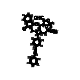 CC1(C)O[C@@H](CN2[C@H](CN3C(=O)c4ccccc4C3=O)[C@H](c3ccc(C#Cc4ccccc4)cc3)[C@@H]2CN=[N+]=[N-])[C@@H](C=O)O1